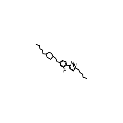 CCCCCc1ccc(-c2ccc(CCC3CCC(CCCCC)CC3)cc2F)nn1